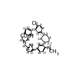 CN(C[C@H]1CC[C@H](c2ccc(Cl)cc2)CC1)c1ccc(-c2csc(CN(CC(=O)O)Cc3ccccc3)n2)cc1